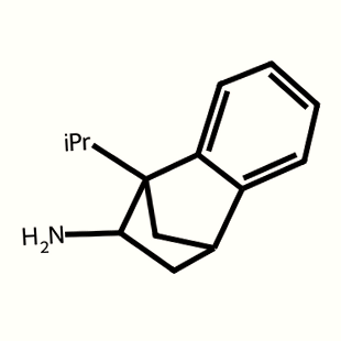 CC(C)C12CC(CC1N)c1ccccc12